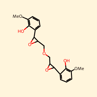 COc1cccc(C2OC2COCC2OC2c2cccc(OC)c2O)c1O